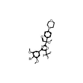 COc1cc(-c2nc(C(C=O)(OC)c3ccc(N4CCOCC4)cc3)oc2C(F)(F)F)cc(OC)c1Br